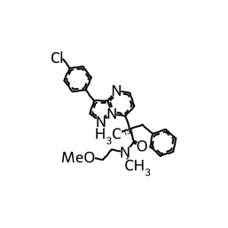 COCCN(C)C(=O)[C@@](C)(Cc1ccccc1)c1ccnc2c(-c3ccc(Cl)cc3)cnn12